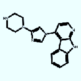 c1ccc2c(c1)[nH]c1nccc(-n3cnc(N4CCNCC4)c3)c12